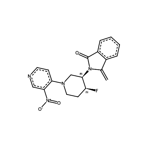 C=C1c2ccccc2C(=O)N1[C@@H]1CN(c2ccncc2[N+](=O)[O-])CC[C@@H]1F